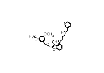 COc1cc(COCc2oc3cccc(OCCCNCc4cccnc4)c3c2C)cc(OC)c1